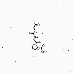 O=C(O)CCC(=O)NCC(=O)N1CCC[C@H]1C(=O)O